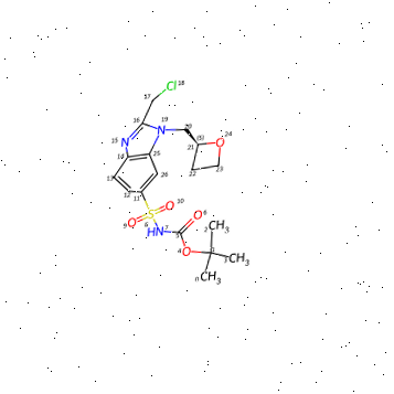 CC(C)(C)OC(=O)NS(=O)(=O)c1ccc2nc(CCl)n(C[C@@H]3CCO3)c2c1